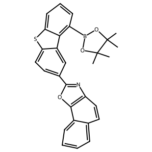 CC1(C)OB(c2cccc3sc4ccc(-c5nc6ccc7ccccc7c6o5)cc4c23)OC1(C)C